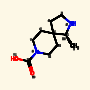 C[C@@H]1NCCC12CCN(C(=O)O)CC2